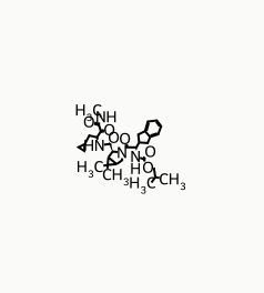 CNC(=O)C(=O)C(CC1CC1)NC(=O)[C@@H]1C2C(CN1C(=O)[C@@H](NC(=O)OCC(C)C)C1Cc3ccccc3C1)C2(C)C